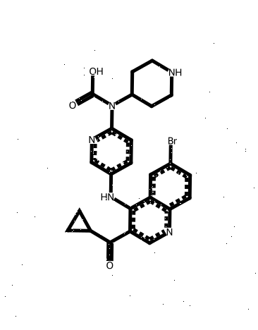 O=C(c1cnc2ccc(Br)cc2c1Nc1ccc(N(C(=O)O)C2CCNCC2)nc1)C1CC1